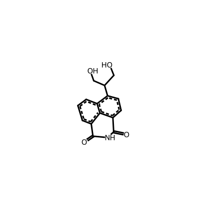 O=C1NC(=O)c2ccc(C(CO)CO)c3cccc1c23